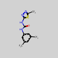 O=C(Nc1cc(C(F)(F)F)cc(C(F)(F)F)c1)Nc1nnc(C(F)(F)F)s1